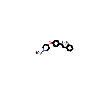 O=C(O)N1CCC(Oc2ccc(C=Cc3ccccc3[N+](=O)[O-])cc2)CC1